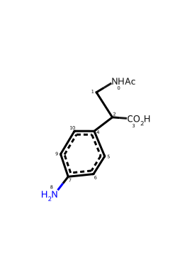 CC(=O)NCC(C(=O)O)c1ccc(N)cc1